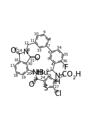 CC(C)(C)C(NC(=O)O)c1cc(-c2cccc(CN3C(=O)c4cccc(NC(=O)c5ccc(Cl)s5)c4C3=O)c2)ccc1F